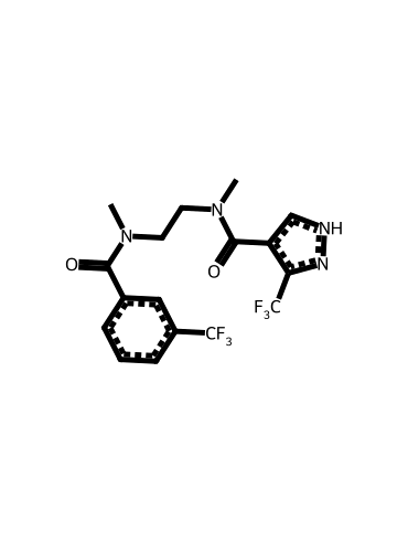 CN(CCN(C)C(=O)c1c[nH]nc1C(F)(F)F)C(=O)c1cccc(C(F)(F)F)c1